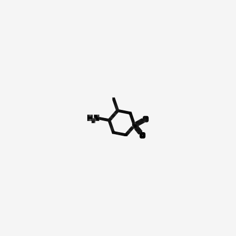 CC1CS(=O)(=O)CCC1N